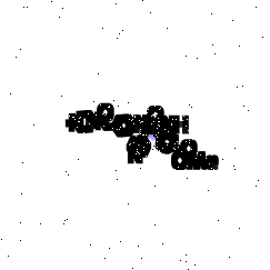 COC(=O)c1ccc2c(c1)NC(=O)/C2=C(\Nc1ccc(CC(=O)N2CCN(C)CC2)cc1)c1ccncc1